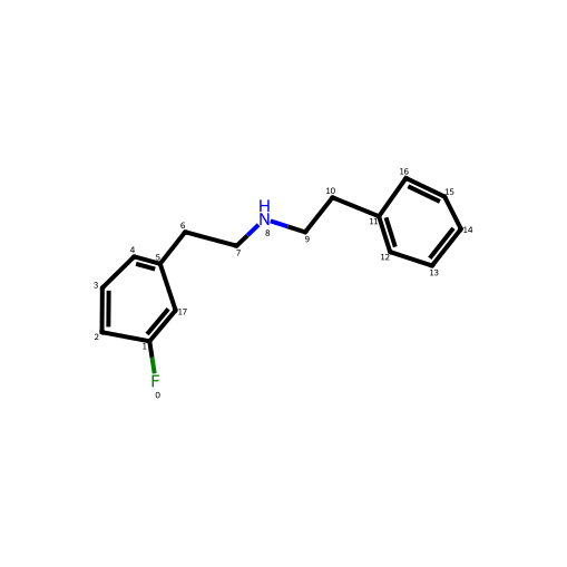 Fc1cccc(CCNCCc2ccccc2)c1